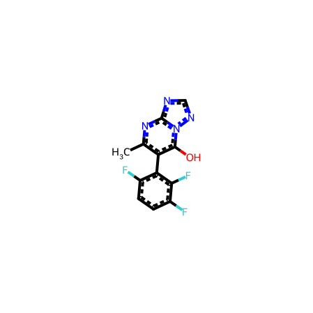 Cc1nc2ncnn2c(O)c1-c1c(F)ccc(F)c1F